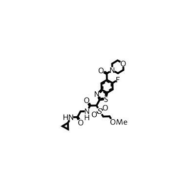 COCCS(=O)(=O)C(C(=O)NCC(=O)NC1CC1)c1nc2cc(C(=O)N3CCOCC3)c(F)cc2s1